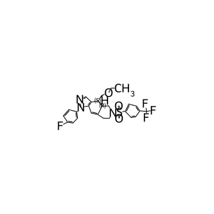 CCOC[C@@H]1c2cnn(-c3ccc(F)cc3)c2C=C2CCN(S(=O)(=O)c3ccc(C(F)(F)F)cc3)C[C@@H]21